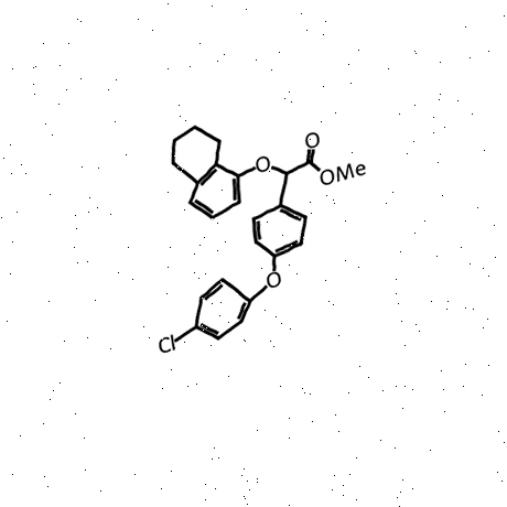 COC(=O)C(Oc1cccc2c1CCCC2)c1ccc(Oc2ccc(Cl)cc2)cc1